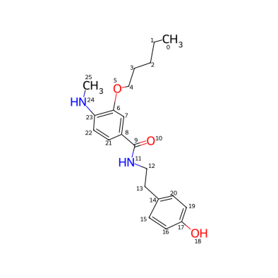 CCCCCOc1cc(C(=O)NCCc2ccc(O)cc2)ccc1NC